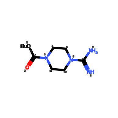 CC(C)COC(=O)N1CCN(C(=N)N)CC1